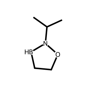 CC(C)N1BCCO1